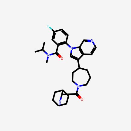 CC(C)N(C)C(=O)c1cc(F)ccc1-n1cc(C2CCCN(C(=O)C3NC4CCC3CC4)CC2)c2ccncc21